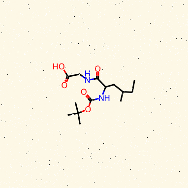 CCC(C)CC(NC(=O)OC(C)(C)C)C(=O)NCC(=O)O